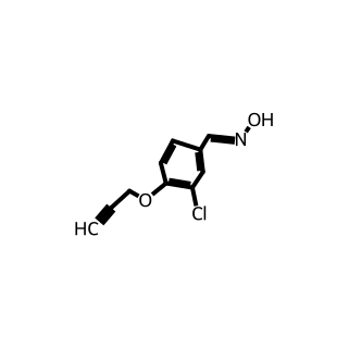 C#CCOc1ccc(/C=N/O)cc1Cl